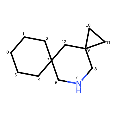 C1CCC2(CC1)CNCC1(CC1)C2